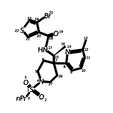 CCCS(=O)(=O)N1CCC(c2cccc(C)n2)([C@H](C)NC(=O)c2cscc2Br)CC1